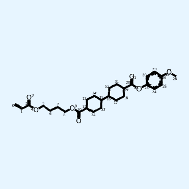 C=CC(=O)OCCCCOC(=O)C1CCC(C2CCC(C(=O)Oc3ccc(OC)cc3)CC2)CC1